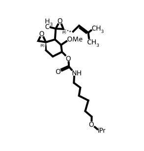 COC1C(OC(=O)NCCCCCCOC(C)C)CC[C@]2(CO2)C1C1(C)O[C@@H]1CC=C(C)C